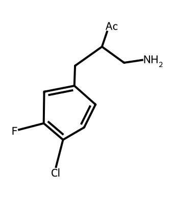 CC(=O)C(CN)Cc1ccc(Cl)c(F)c1